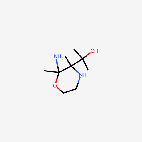 CC(C)(O)C1(C)NCCOC1(C)N